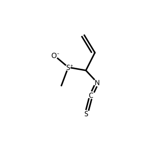 C=CC(N=C=S)[S+](C)[O-]